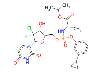 CC(C)OC(=O)[C@H](C)NP(=O)(OC[C@H]1OC(n2ccc(=O)[nH]c2=O)[C@@](F)(Cl)[C@@H]1O)Oc1cccc(C2CC2)c1